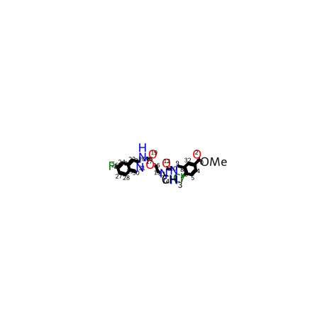 COC(=O)c1ccc(Cl)c(CNC(=O)N(C)CCOC(=O)Nc2cc3cc(F)ccc3cn2)c1